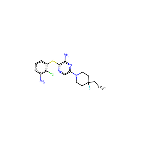 Nc1cccc(Sc2ncc(N3CCC(F)(CC(=O)O)CC3)nc2N)c1Cl